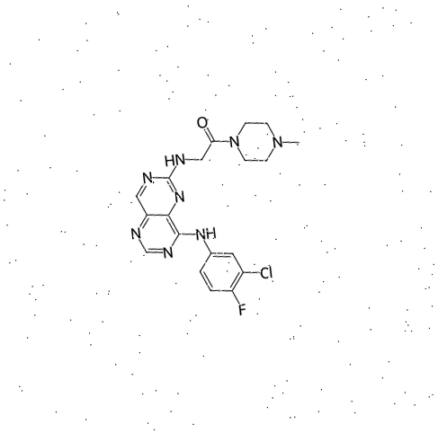 CN1CCN(C(=O)CNc2ncc3ncnc(Nc4ccc(F)c(Cl)c4)c3n2)CC1